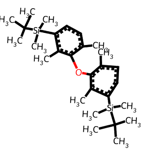 Cc1ccc([Si](C)(C)C(C)(C)C)c(C)c1Oc1c(C)ccc([Si](C)(C)C(C)(C)C)c1C